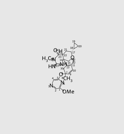 COc1cncc(OC2(C)C=CC(F)=C([C@]34CO[C@@H](C5CC5)C[C@H]3C(=O)N(C)C(=N)N4)C2)n1